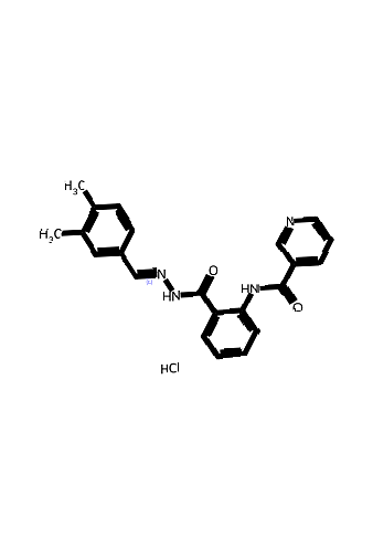 Cc1ccc(/C=N/NC(=O)c2ccccc2NC(=O)c2cccnc2)cc1C.Cl